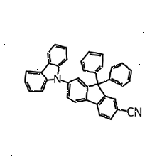 N#Cc1ccc2c(c1)C(c1ccccc1)(c1ccccc1)c1cc(-n3c4ccccc4c4ccccc43)ccc1-2